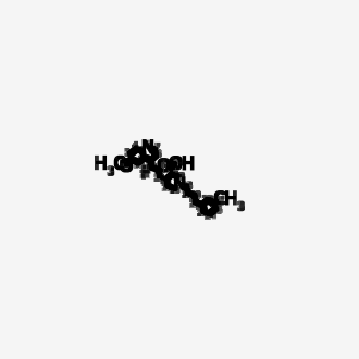 COc1ccc2nccc([C@@H](F)CC[C@@H]3CCN(CCCCc4cccc(C)c4)C[C@@H]3C(=O)O)c2c1